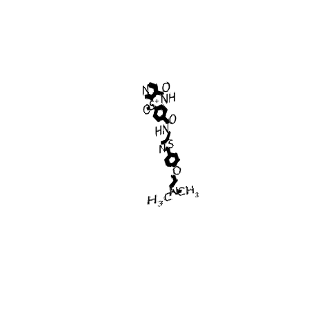 CN(C)CCCOc1ccc(-c2ncc(CNC(=O)c3ccc4c(c3)NC(=O)c3ccncc3[S+]4[O-])s2)cc1